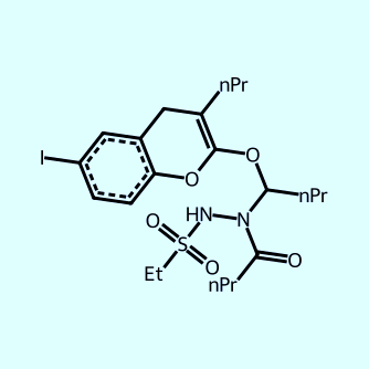 CCCC(=O)N(NS(=O)(=O)CC)C(CCC)OC1=C(CCC)Cc2cc(I)ccc2O1